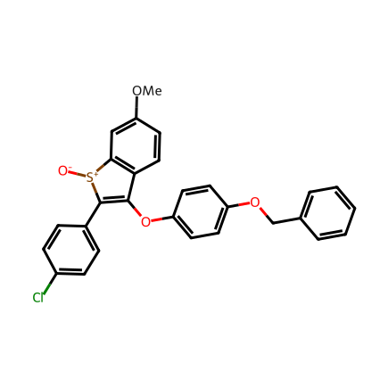 COc1ccc2c(Oc3ccc(OCc4ccccc4)cc3)c(-c3ccc(Cl)cc3)[s+]([O-])c2c1